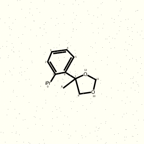 CC(C)c1ccccc1C1(C)COCO1